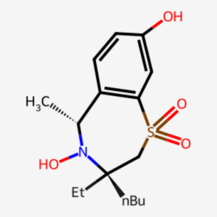 CCCC[C@]1(CC)CS(=O)(=O)c2cc(O)ccc2[C@@H](C)N1O